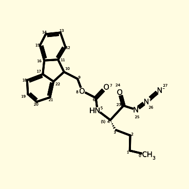 CCCC[C@H](NC(=O)OCC1c2ccccc2-c2ccccc21)C(=O)N=[N+]=[N-]